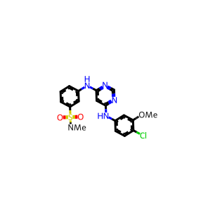 CNS(=O)(=O)c1cccc(Nc2cc(Nc3ccc(Cl)c(OC)c3)ncn2)c1